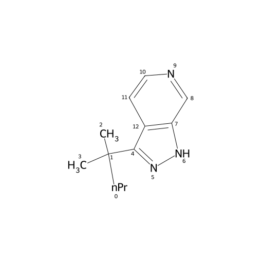 CCCC(C)(C)c1n[nH]c2cnccc12